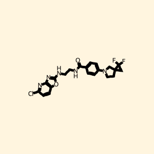 O=C(NCCNc1nc2nc(Cl)ccc2o1)c1ccc(N2CCC3(C2)CC3(F)F)cc1